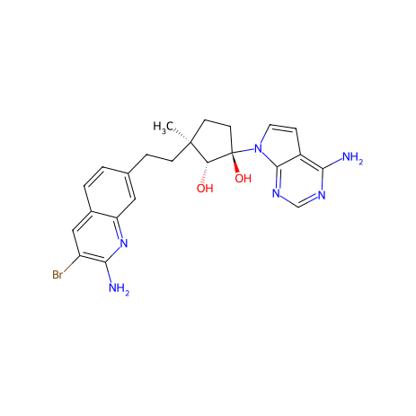 C[C@]1(CCc2ccc3cc(Br)c(N)nc3c2)CC[C@](O)(n2ccc3c(N)ncnc32)[C@@H]1O